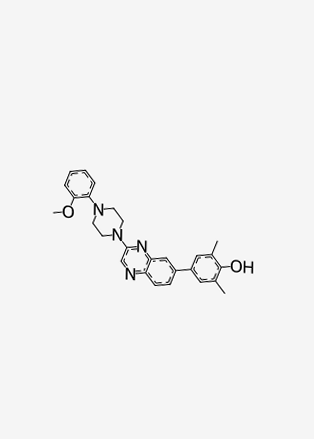 COc1ccccc1N1CCN(c2cnc3ccc(-c4cc(C)c(O)c(C)c4)cc3n2)CC1